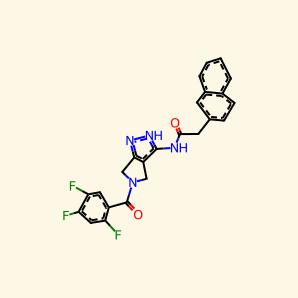 O=C(Cc1ccc2ccccc2c1)Nc1[nH]nc2c1CN(C(=O)c1cc(F)c(F)cc1F)C2